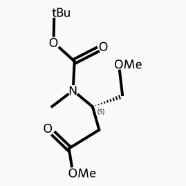 COC[C@H](CC(=O)OC)N(C)C(=O)OC(C)(C)C